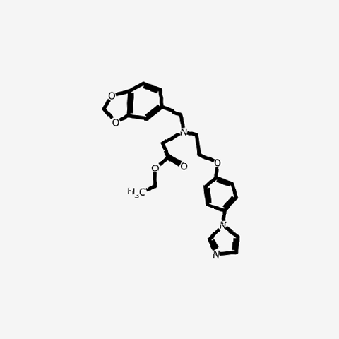 CCOC(=O)CN(CCOc1ccc(-n2ccnc2)cc1)Cc1ccc2c(c1)OCO2